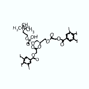 C[N+](C)(C)CCOP(=O)(O)OC[C@@H](COC(=O)COC(=O)c1cc(I)c(I)c(I)c1)OC(=O)COC(=O)c1cc(I)c(I)c(I)c1